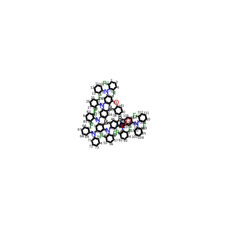 Fc1cccc(F)c1N(c1ccccc1)c1cc2c3c(c1)N(c1c(F)cccc1F)c1cc4c(cc1B3c1ccccc1O2)B1c2cc3c(cc2N(c2c(F)cccc2F)c2cc(N(c5ccccc5)c5ccccc5)cc(c21)N4c1c(F)cccc1F)N(c1c(F)cccc1F)c1cc(N(c2ccccc2)c2c(F)cccc2F)cc2c1B3c1ccccc1O2